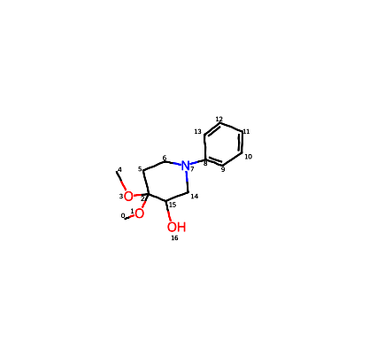 COC1(OC)CCN(c2ccccc2)CC1O